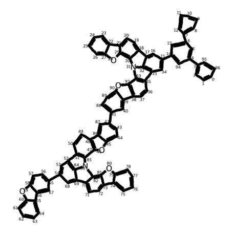 c1ccc(-c2cc(-c3ccccc3)cc(-c3cc4c5ccc6c7ccccc7oc6c5n5c4c(c3)c3ccc4c6cc(-c7ccc8oc9c(ccc%10c%11cc(-c%12ccc%13oc%14ccccc%14c%13c%12)cc%12c%13ccc%14c%15ccccc%15oc%14c%13n(c%12%11)c%109)c8c7)ccc6oc4c35)c2)cc1